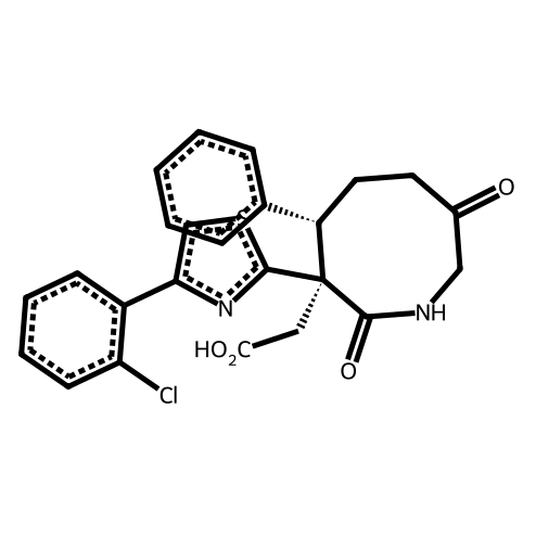 O=C(O)C[C@@]1(c2nc(-c3ccccc3Cl)cs2)C(=O)NCC(=O)CC[C@H]1c1ccccc1